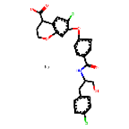 O=C(NC(CO)Cc1ccc(Cl)cc1)c1ccc(Oc2cc3c(cc2Cl)C(C(=O)[O-])CCO3)cc1.[Na+]